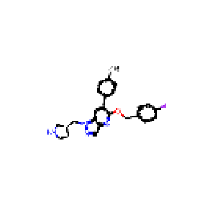 N#Cc1ccc(-c2cc3c(cnn3C[C@H]3CCNC3)nc2OCc2ccc(I)cc2)cc1